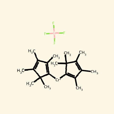 CC1=C(C)C(C)(C)[C]([Cr+][C]2=C(C)C(C)=C(C)C2(C)C)=C1C.F[B-](F)(F)F